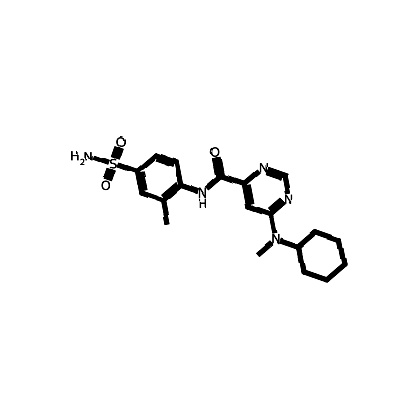 Cc1cc(S(N)(=O)=O)ccc1NC(=O)c1cc(N(C)C2CCCCC2)ncn1